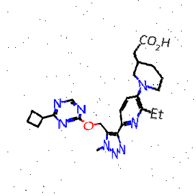 CCc1nc(-c2nnn(C)c2COc2ncnc(C3CCC3)n2)ccc1N1CCCC(CC(=O)O)C1